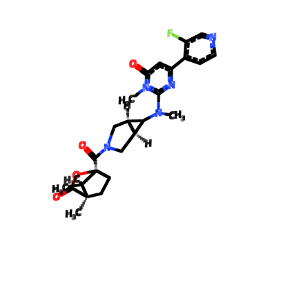 CN(c1nc(-c2ccncc2F)cc(=O)n1C)C1[C@H]2CN(C(=O)[C@@]34CC[C@@](C)(C(=O)O3)C4(C)C)C[C@@H]12